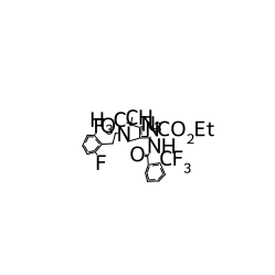 CCOC(=O)n1nc2c(c1NC(=O)c1ccccc1C(F)(F)F)CN(C(=O)Cc1c(F)cccc1F)C2(C)C